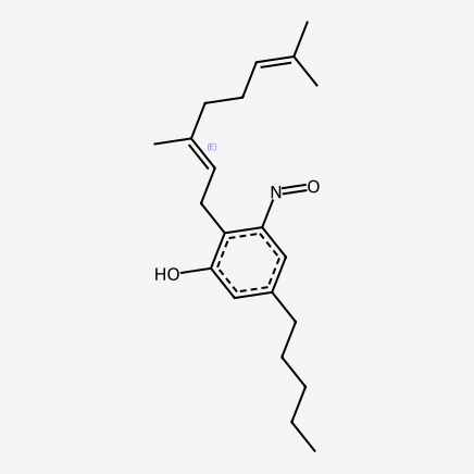 CCCCCc1cc(O)c(C/C=C(\C)CCC=C(C)C)c(N=O)c1